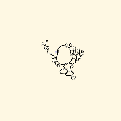 CN1CC/C=C/[C@H](OCCN2CC(F)(F)C2)[C@@H]2CC[C@H]2CN2C[C@@]3(CCCc4cc(Cl)ccc43)COc3ccc(cc32)[C@@](O)(C(=O)NS(C)(=O)=O)CC1=O